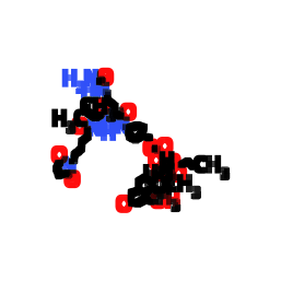 CCCC1O[C@@H]2CC3[C@@H]4CCC5=CC(=O)C=C[C@]5(C)C4[C@@H](O)C[C@]3(C)[C@]2(C(=O)COC(=O)OCc2ccc(NC(=O)[C@H](CCCNC(N)=O)NC(=O)C(NC(=O)CCCCCN3C(=O)C=CC3=O)C(C)C)cc2)O1